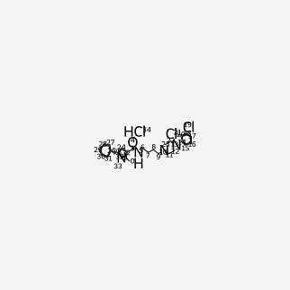 Cc1c(C(=O)NCCCCN2CCN(c3cccc(Cl)c3Cl)CC2)cc(-c2ccccc2)n1C.Cl